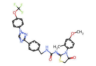 COc1ccc(N2C(=O)CS/C2=N\C(=O)NCc2ccc(-c3ncn(-c4ccc(OC(F)(F)F)cc4)n3)cc2)c(C)c1